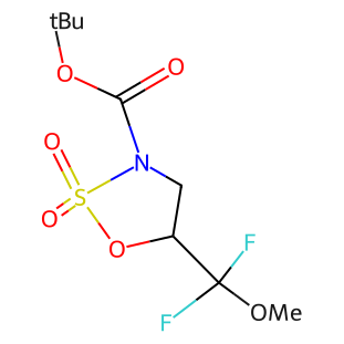 COC(F)(F)C1CN(C(=O)OC(C)(C)C)S(=O)(=O)O1